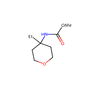 CCC1(NC(=O)OC)CCOCC1